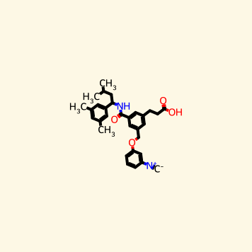 [C-]#[N+]c1cccc(OCc2cc(CCC(=O)O)cc(C(=O)NC(CC(C)C)c3cc(C)cc(C)c3)c2)c1